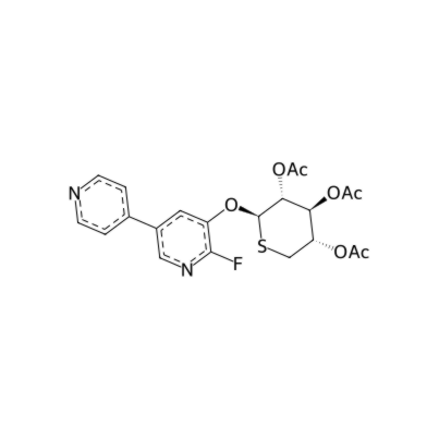 CC(=O)O[C@@H]1[C@@H](OC(C)=O)[C@H](OC(C)=O)CS[C@H]1Oc1cc(-c2ccncc2)cnc1F